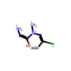 CN/C(Br)=C\N(C)/C(O)=C\N